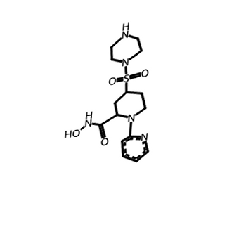 O=C(NO)C1CC(S(=O)(=O)N2CCNCC2)CCN1c1ccccn1